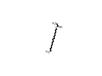 C=CC(O)OCCCCCCCCCCCCCCCC